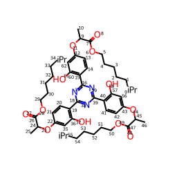 CC(C)CCCCCOC(=O)C(C)Oc1ccc(-c2nc(-c3ccc(OC(C)C(=O)OCCCCCC(C)C)cc3O)nc(-c3ccc(OC(C)C(=O)OCCCCCC(C)C)cc3O)n2)c(O)c1